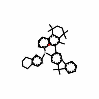 Cc1c(-c2cc3c(cc2N(c2ccccc2)c2ccc4c(c2)CCCC4)C(C)(C)c2ccccc2-3)ccc2c1C(C)(C)CCC2(C)C